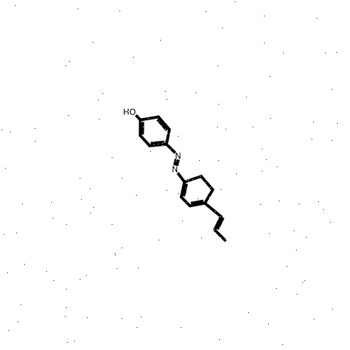 CC=CC1=CC=C(N=Nc2ccc(O)cc2)CC1